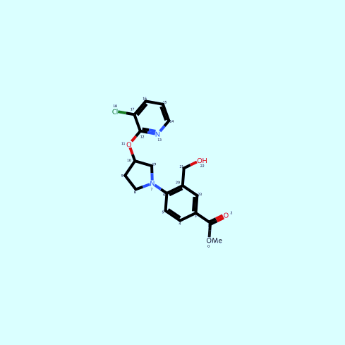 COC(=O)c1ccc(N2CCC(Oc3ncccc3Cl)C2)c(CO)c1